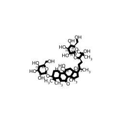 C[C@H](CC[C@@H](O[C@@H]1O[C@H](CO)[C@@H](O)[C@H](O)[C@H]1O)C(C)(C)O)C1CC[C@@]2(C)C3C(=O)C=C4C(CC[C@H](O[C@@H]5O[C@H](CO)[C@@H](O)[C@H](O)[C@H]5O)C4(C)C)[C@]3(C)[C@H](O)C[C@]12C